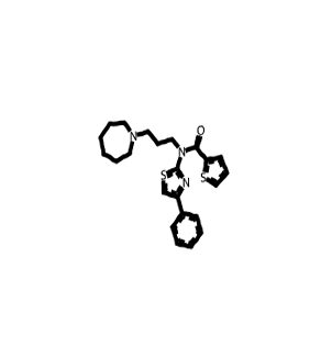 O=C(c1cccs1)N(CCCN1CCCCCC1)c1nc(-c2ccccc2)cs1